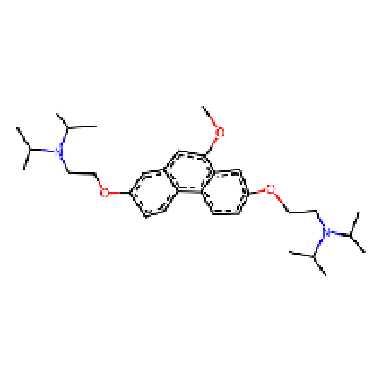 COc1cc2cc(OCCN(C(C)C)C(C)C)ccc2c2ccc(OCCN(C(C)C)C(C)C)cc12